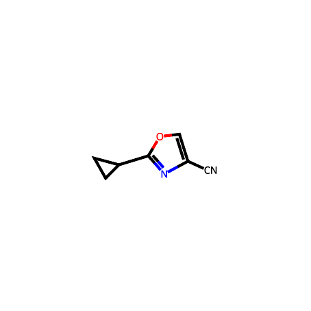 N#Cc1coc(C2CC2)n1